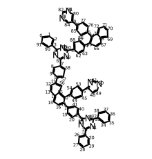 c1ccc(-c2nc(-c3ccc(-c4ccc5ccc(-c6ccc(-c7nc(-c8ccccc8)nc(-c8ccccc8)n7)cc6)c(-c6ccc(-c7ccncn7)cc6)c5c4)cc3)nc(-c3ccc(-c4ccc5ccccc5c4-c4ccc(-c5cncnc5)cc4)cc3)n2)cc1